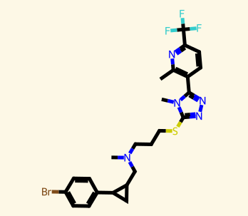 Cc1nc(C(F)(F)F)ccc1-c1nnc(SCCCN(C)CC2CC2c2ccc(Br)cc2)n1C